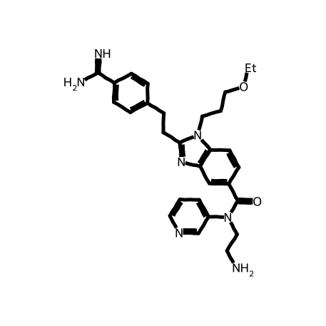 CCOCCCn1c(CCc2ccc(C(=N)N)cc2)nc2cc(C(=O)N(CCN)c3cccnc3)ccc21